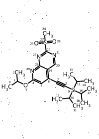 CC(C)Oc1cc(C#C[Si](C(C)C)(C(C)C)C(C)C)c2cnc(S(C)(=O)=O)nc2n1